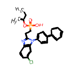 CCC(C)OP(=O)(O)CCc1nc2ccc(Cl)cc2n1-c1ccc(-c2ccccc2)cc1